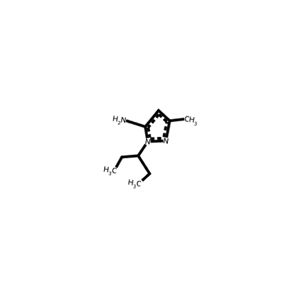 CCC(CC)n1nc(C)cc1N